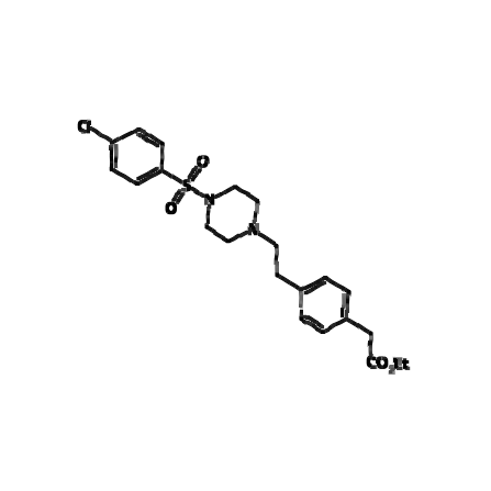 CCOC(=O)Cc1ccc(CCN2CCN(S(=O)(=O)c3ccc(Cl)cc3)CC2)cc1